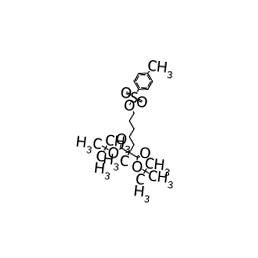 Cc1ccc(S(=O)(=O)OCCCCCC(C)(C(=O)OC(C)(C)C)C(=O)OC(C)(C)C)cc1